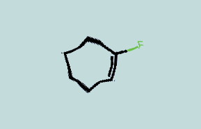 FC1=[C]CC[CH]C1